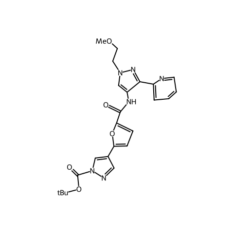 COCCn1cc(NC(=O)c2ccc(-c3cnn(C(=O)OC(C)(C)C)c3)o2)c(-c2ccccn2)n1